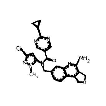 Cn1nc(Cl)cc1N(Cc1ccc2c3c(c(N)nc2c1)COC3)C(=O)c1cnc(C2CC2)nc1